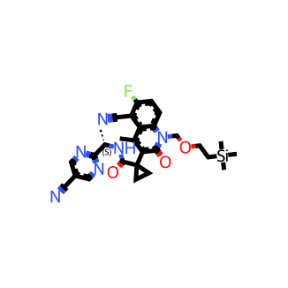 Cc1c(C2(C(=O)N[C@@H](C)c3ncc(C#N)cn3)CC2)c(=O)n(COCC[Si](C)(C)C)c2ccc(F)c(C#N)c12